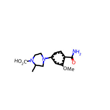 COc1cc(N2CCN(C(=O)O)C(C)C2)ccc1C(N)=O